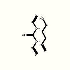 C=CCCCO.C=COC(=O)OC=C